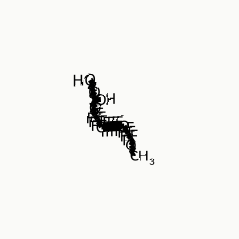 CCCOCC(F)(F)C(F)(F)C(F)(F)OC(F)(F)C(F)(F)C(F)(F)C(F)(F)OC(F)(F)C(F)(F)C(F)(F)COCC(O)COCCO